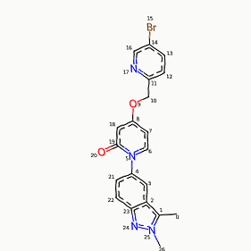 Cc1c2cc(-n3ccc(OCc4ccc(Br)cn4)cc3=O)ccc2nn1C